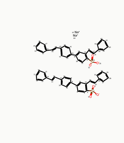 O=S(=O)([O-])c1ccc(-c2ccc(/C=C/c3ccccc3)cc2)cc1/C=C/c1ccccc1.O=S(=O)([O-])c1ccc(-c2ccc(/C=C/c3ccccc3)cc2)cc1/C=C/c1ccccc1.[Na+].[Na+]